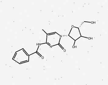 Cc1cn([C@@H]2O[C@H](CO)C(O)C2O)c(=O)nc1NC(=O)c1ccccc1